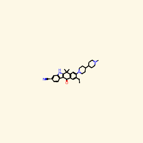 CCc1cc2c(cc1N1CCC(C3CCN(C)CC3)CC1)C(C)(C)c1[nH]c3cc(C#N)ccc3c1C2=O